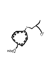 COc1ccc(SC(C)Cl)cc1